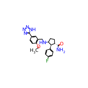 COc1ccc(-c2nnn[nH]2)cc1CN[C@H]1CC[C@H](C(N)=O)[C@H]1c1ccc(F)cc1